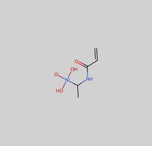 C=CC(=O)NC(C)[N+]([O-])(O)O